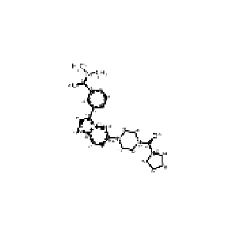 CN(C)C(=O)c1cccc(-c2cnc3ccc(N4CCN(C(=O)N5CCCC5)CC4)nn23)c1